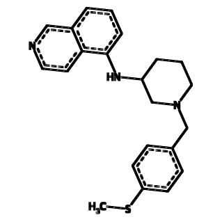 CSc1ccc(CN2CCCC(Nc3cccc4cnccc34)C2)cc1